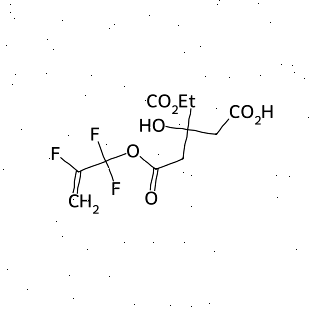 C=C(F)C(F)(F)OC(=O)CC(O)(CC(=O)O)C(=O)OCC